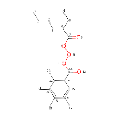 CCCCC(CC)C(=O)OOOC(=O)c1cc(C)c(C)c(C)c1C